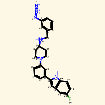 [N-]=[N+]=Nc1cccc(CNC2CCN(c3cccc(-c4cc5cc(F)ccc5[nH]4)c3)CC2)c1